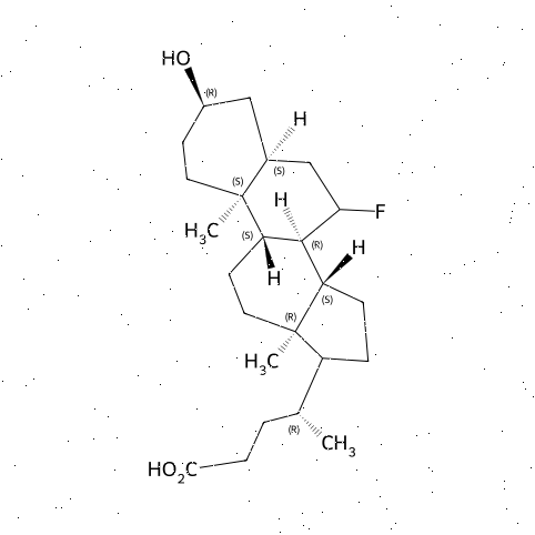 C[C@H](CCC(=O)O)C1CC[C@H]2[C@@H]3C(F)C[C@@H]4C[C@H](O)CC[C@]4(C)[C@H]3CC[C@]12C